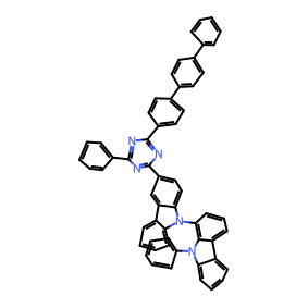 c1ccc(-c2ccc(-c3ccc(-c4nc(-c5ccccc5)nc(-c5ccc6c(c5)c5ccccc5n6-c5cccc6c7ccccc7n(-c7ccccc7)c56)n4)cc3)cc2)cc1